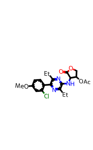 CCc1nc(-c2ccc(OC)cc2Cl)c(CC)nc1NC1C(=O)OCC1OC(C)=O